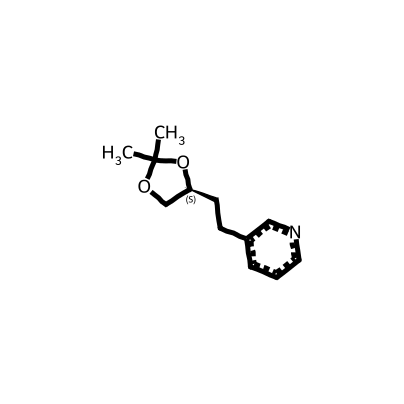 CC1(C)OC[C@H](CCc2cccnc2)O1